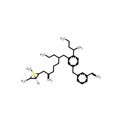 C=Cc1cccc(Cc2ccc(C(C)CCC)c(CC(CCC)CCCC(=C)CC3[C@H]4C(C)S34C)c2)c1